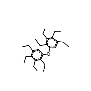 CCc1cc(Oc2cc(CC)c(CC)c(CC)c2CC)c(CC)c(CC)c1CC